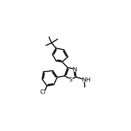 CNc1nc(-c2ccc(C(C)(C)C)cc2)c(-c2cccc(Cl)c2)s1